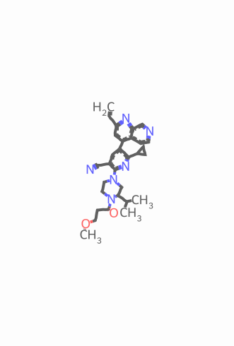 C=Cc1cc(-c2cc(C#N)c(N3CCN(C(=O)CCOC)C(C(C)C)C3)nc2C2CC2)c2ccncc2n1